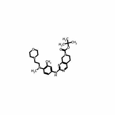 Cc1cc(Nc2ncc3c(n2)CN(C(=O)OC(C)(C)C)CC3)ccc1N(C)CCN1CCOCC1